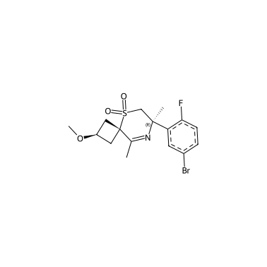 CO[C@H]1C[C@]2(C1)C(C)=N[C@](C)(c1cc(Br)ccc1F)CS2(=O)=O